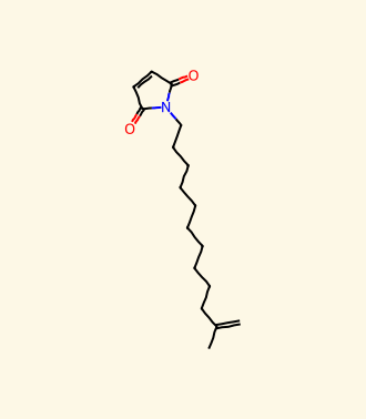 C=C(C)CCCCCCCCCCN1C(=O)C=CC1=O